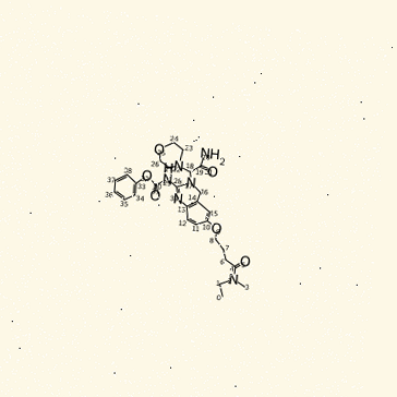 CCN(C)C(=O)CCCOc1ccc2c(c1)CN(C(C(N)=O)N1CCOCC1)C(NC(=O)Oc1ccccc1)=N2